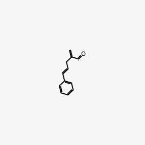 C=C([C]=O)CC=Cc1ccccc1